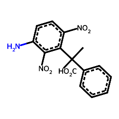 CC(C(=O)O)(c1ccccc1)c1c([N+](=O)[O-])ccc(N)c1[N+](=O)[O-]